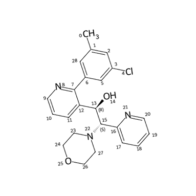 Cc1cc(Cl)cc(-c2ncccc2[C@@H](O)[C@H](c2ccccn2)N2CCOCC2)c1